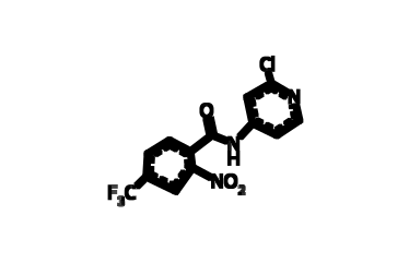 O=C(Nc1ccnc(Cl)c1)c1ccc(C(F)(F)F)cc1[N+](=O)[O-]